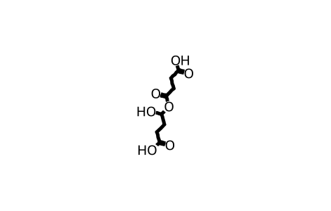 O=C(O)CCC(=O)OC(O)CCC(=O)O